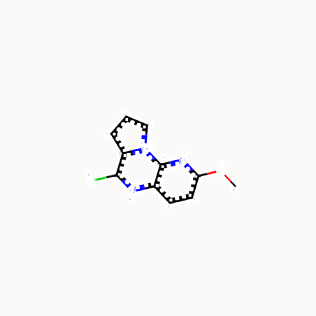 COc1ccc2nc(Cl)c3cccn3c2n1